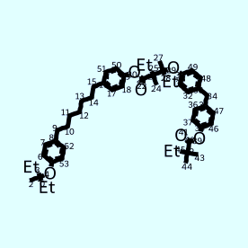 CCC(C)(CC)Oc1ccc(CCCCCCCc2ccc(OC(=O)C(C)(CC)C(C)(CC)Oc3ccc(Cc4ccc(OC(=O)C(C)(C)CC)cc4)cc3)cc2)cc1